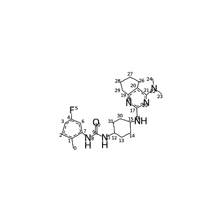 Cc1ccc(F)cc1NC(=O)NC1CCC(Nc2nc3c(c(N(C)C)n2)CCCC3)CC1